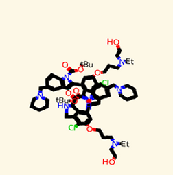 CCN(CCO)CCCOc1cc(-c2cc3cc(CN4CCCCC4)ccc3n2C(=O)OC(C)(C)C)c2c(c1Cl)CNC2C(=O)C1NCc2c(Cl)c(OCCCN(CC)CCO)cc(-c3cc4cc(CN5CCCCC5)ccc4n3C(=O)OC(C)(C)C)c21